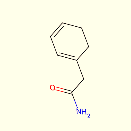 NC(=O)CC1=CC=CCC1